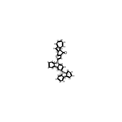 O=C1c2cc(-n3c4ccccc4c4cc(-n5c6ccccc6c6ccccc65)ccc43)sc2-c2cc3cccccc-3c21